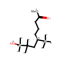 COC(=O)CCC[C@H](CC(C)(C)[Si](C)(C)O)[Si](C)(C)C